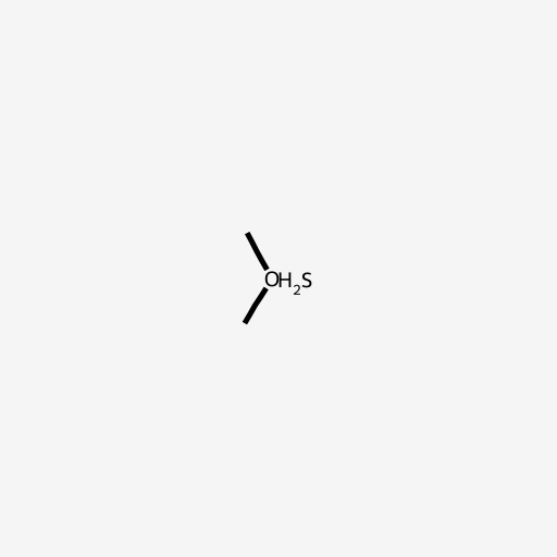 COC.S